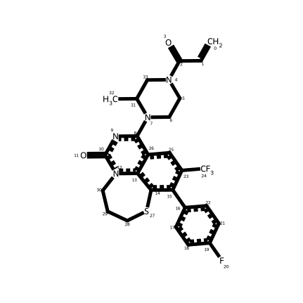 C=CC(=O)N1CCN(c2nc(=O)n3c4c(c(-c5ccc(F)cc5)c(C(F)(F)F)cc24)SCCC3)C(C)C1